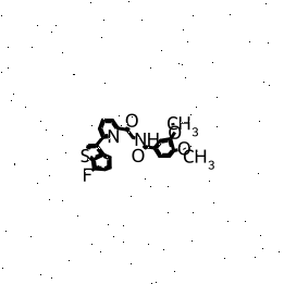 COc1ccc(C(=O)NCC(=O)c2cccc(-c3csc4c(F)cccc34)n2)cc1OC